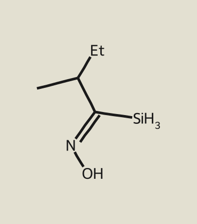 CCC(C)C([SiH3])=NO